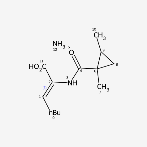 CCCC/C=C(\NC(=O)C1(C)CC1C)C(=O)O.N